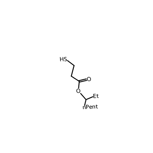 CCCCCC(CC)OC(=O)CCS